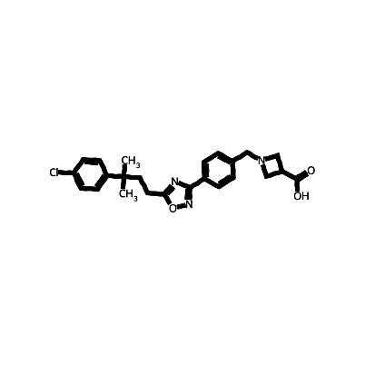 CC(C)(CCc1nc(-c2ccc(CN3CC(C(=O)O)C3)cc2)no1)c1ccc(Cl)cc1